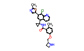 Cc1ncc(-c2cc(C3(NC(=O)c4cc(OC[C@@H]5CCN5)ccc4C)CC3)c3cccnc3c2Cl)s1